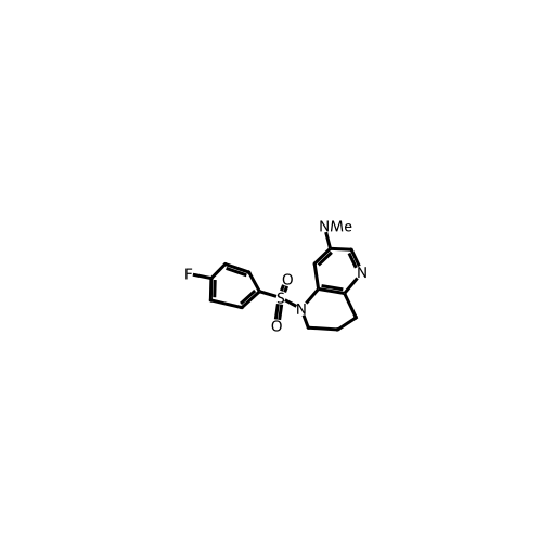 CNc1cnc2c(c1)N(S(=O)(=O)c1ccc(F)cc1)CCC2